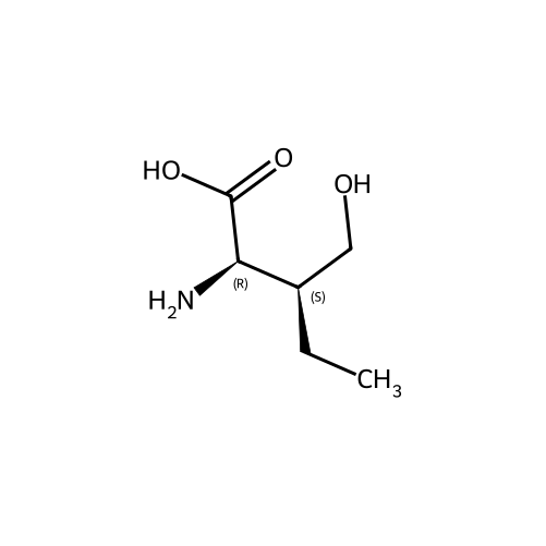 CC[C@H](CO)[C@@H](N)C(=O)O